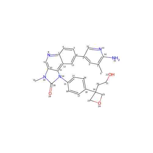 Cc1cc(-c2ccc3ncc4c(c3c2)n(-c2ccc(C3(CCO)COC3)cc2)c(=O)n4C)cnc1N